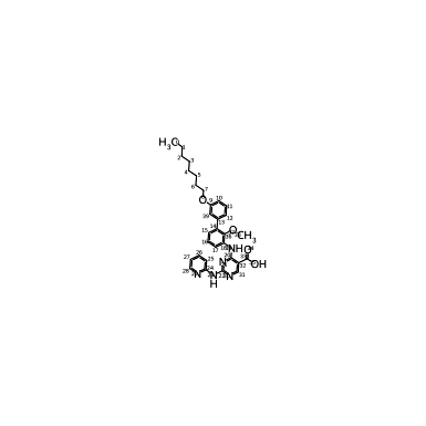 CCCCCCCCOc1cccc(-c2cccc(Nc3nc(Nc4ccccn4)ncc3C(=O)O)c2OC)c1